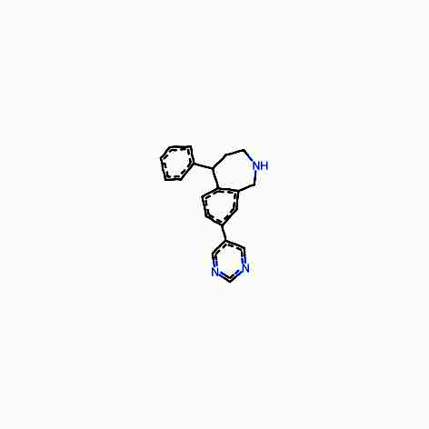 c1ccc(C2CCNCc3cc(-c4cncnc4)ccc32)cc1